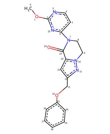 COc1nccc(N2CCn3nc(COc4ccccc4)cc3C2=O)n1